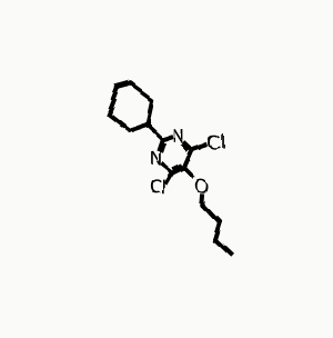 CCCCOc1c(Cl)nc(C2CCCCC2)nc1Cl